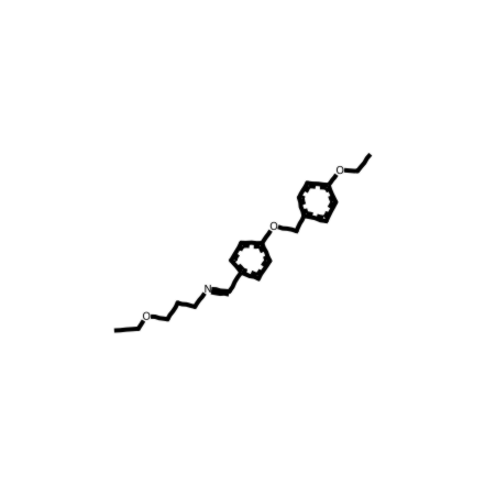 CCOCCCN=Cc1ccc(OCc2ccc(OCC)cc2)cc1